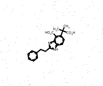 CC(C)(C(=O)O)c1ccc2[nH]c(CCc3ccccc3)nc2c1C(=O)O